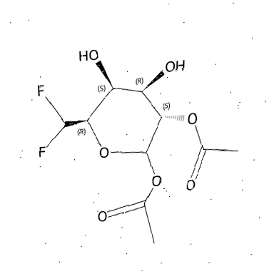 CC(=O)OC1O[C@@H](C(F)F)[C@@H](O)[C@@H](O)[C@@H]1OC(C)=O